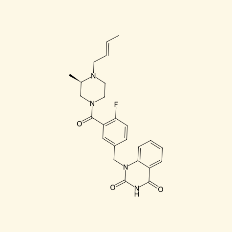 CC=CCN1CCN(C(=O)c2cc(Cn3c(=O)[nH]c(=O)c4ccccc43)ccc2F)C[C@H]1C